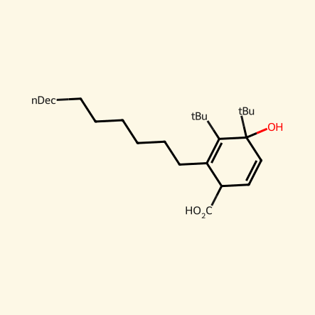 CCCCCCCCCCCCCCCCC1=C(C(C)(C)C)C(O)(C(C)(C)C)C=CC1C(=O)O